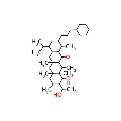 CC(C)C1CC(CCCC2CCCCC2)C(C)C2C(=O)C3C(C)C4(C)C(O)C(C(C)O)C(C)CC4(C)CC3(C)CC12